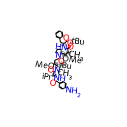 CC[C@H](C)[C@@H]([C@@H](CC(=O)N1CCC[C@H]1[C@H](OC)[C@@H](C)C(=O)N[C@@H](Cc1ccccc1)C(=O)OC(C)(C)C)OC)N(C)C(=O)[C@@H](NC(=O)c1ccc(N)cc1)C(C)C